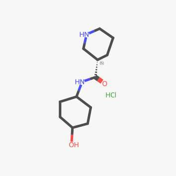 Cl.O=C(NC1CCC(O)CC1)[C@H]1CCCNC1